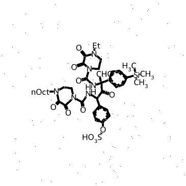 CCCCCCCCN1CCN(C(=O)NC(C(=O)C([C]=O)(NC(=O)N2CCN(CC)C(=O)C2=O)c2ccc([Si](C)(C)C)cc2)c2ccc(OS(=O)(=O)O)cc2)C(=O)C1=O